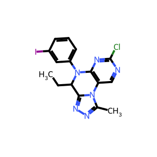 CCC1c2nnc(C)n2-c2cnc(Cl)nc2N1c1cccc(I)c1